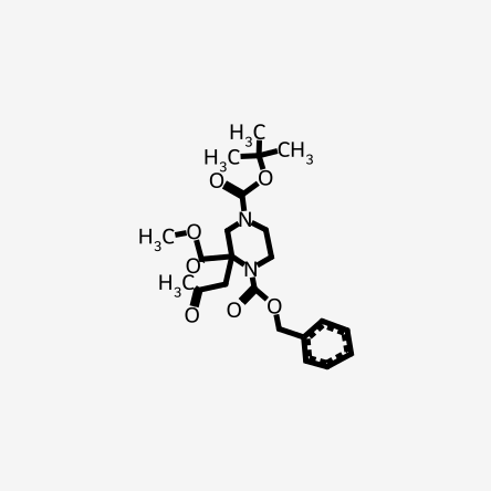 COC(=O)C1(CC(C)=O)CN(C(=O)OC(C)(C)C)CCN1C(=O)OCc1ccccc1